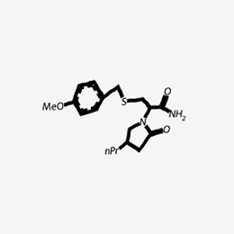 CCCC1CC(=O)N(C(CSCc2ccc(OC)cc2)C(N)=O)C1